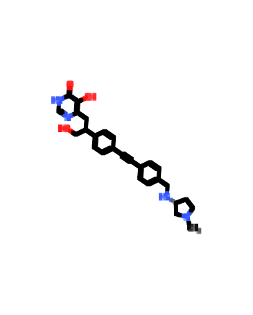 CN1CC[C@@H](NCc2ccc(C#Cc3ccc(C(CO)Cc4nc[nH]c(=O)c4O)cc3)cc2)C1